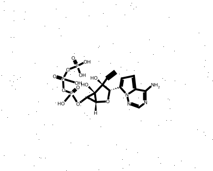 C#C[C@]1(O)[C@H](c2ccc3c(N)ncnn23)O[C@@H]2C(OP(=O)(O)OP(=O)(O)OP(=O)(O)O)[C@@]21O